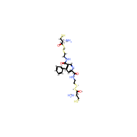 N[C@@H](CS)C(=O)SSCCNC(=O)c1cc(-c2ccccc2)c(C(=O)NCCSSC(=O)[C@@H](N)CS)cn1